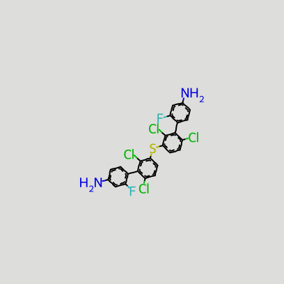 Nc1ccc(-c2c(Cl)ccc(Sc3ccc(Cl)c(-c4ccc(N)cc4F)c3Cl)c2Cl)c(F)c1